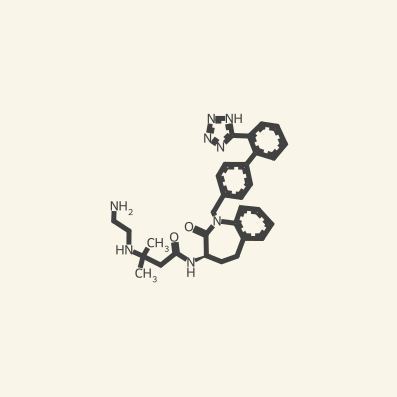 CC(C)(CC(=O)N[C@@H]1CCc2ccccc2N(Cc2ccc(-c3ccccc3-c3nnn[nH]3)cc2)C1=O)NCCN